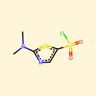 CN(C)c1ncc(S(=O)(=O)Cl)s1